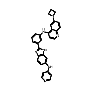 c1cc(Nc2ccnc3ccc(N4CCC4)cc23)cc(-c2nc3ccc(Nc4ccncc4)cc3[nH]2)c1